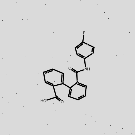 O=C(O)c1ccccc1-c1ccccc1C(=O)Nc1ccc(F)cc1